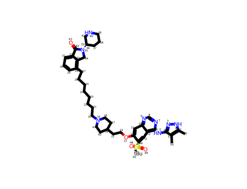 Cc1[nH]nc(Nc2ncnc3cc(OCCC4CCN(CCCCCCCCc5cccc6c5CN([C@H]5CCCNC5)C6=O)CC4)c(S(=O)(=O)C(C)(C)C)cc23)c1C